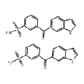 NS(=O)(=O)c1cccc(C(=O)c2ccc3cc[nH]c3c2)c1.NS(=O)(=O)c1cccc(C(=O)c2ccc3cc[nH]c3c2)c1